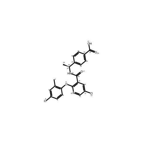 Cc1cc(Cl)ccc1Oc1ncc(Cl)cc1C(=O)N[C@@H](C)c1ccc(C(=O)O)cc1